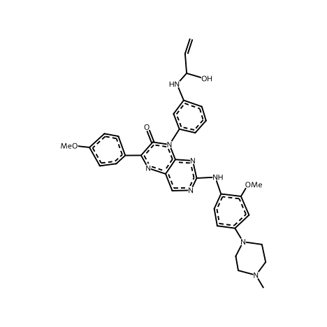 C=CC(O)Nc1cccc(-n2c(=O)c(-c3ccc(OC)cc3)nc3cnc(Nc4ccc(N5CCN(C)CC5)cc4OC)nc32)c1